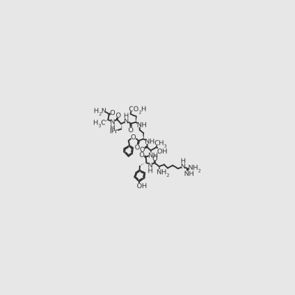 CC(C)C[C@@H](NC(=O)[C@@H](CCC(=O)O)NCC[C@@H](NC(=O)[C@H](NC(=O)[C@@H](Cc1ccc(O)cc1)NC(=O)[C@H](N)CCCCNC(=N)N)[C@@H](C)O)C(=O)OCc1ccccc1)C(=O)N[C@H](C)C(N)=O